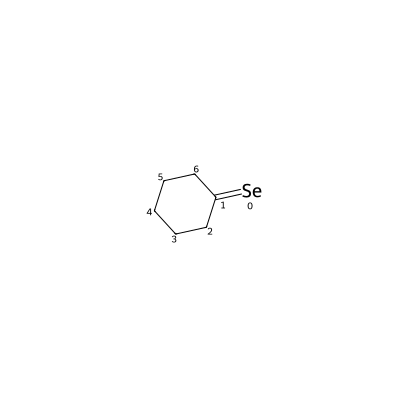 [Se]=C1CCCCC1